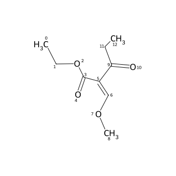 CCOC(=O)/C(=C\OC)C(=O)CC